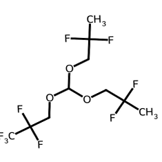 CC(F)(F)COC(OCC(C)(F)F)OCC(F)(F)C(F)(F)F